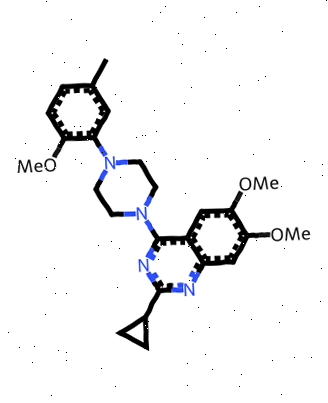 COc1cc2nc(C3CC3)nc(N3CCN(c4cc(C)ccc4OC)CC3)c2cc1OC